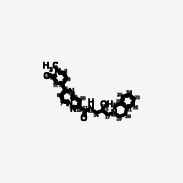 Cn1ccc(-c2ccn3nc(C(=O)NCC(O)CN4CCc5ccccc5C4)cc3n2)cc1=O